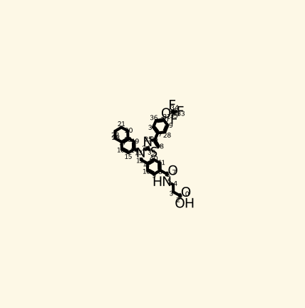 O=C(O)CCNC(=O)c1ccc(CN(c2ccc3c(c2)CCCC3)c2nc(-c3ccc(OC(F)(F)F)cc3)cs2)cc1